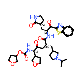 CC(C)N1CCC(C[C@H](CC(=O)[C@@H](NC(=O)OC2CCOC2)C2CCOC2)C(=O)N[C@@H](C[C@@H]2CCNC2=O)C(=O)c2nc3ccccc3s2)C1